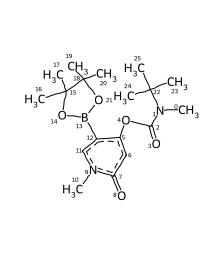 CN(C(=O)Oc1cc(=O)n(C)cc1B1OC(C)(C)C(C)(C)O1)C(C)(C)C